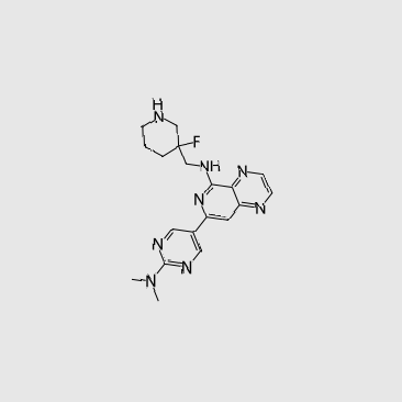 CN(C)c1ncc(-c2cc3nccnc3c(NCC3(F)CCCNC3)n2)cn1